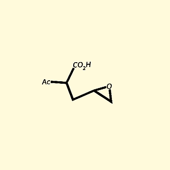 CC(=O)C(CC1CO1)C(=O)O